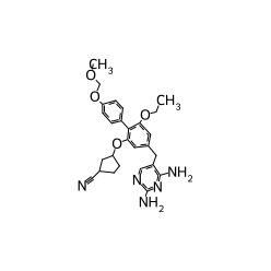 CCOc1cc(Cc2cnc(N)nc2N)cc(OC2CCC(C#N)C2)c1-c1ccc(OCOC)cc1